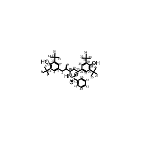 CC(Cc1cc(C(C)(C)C)c(O)c(C(C)(C)C)c1)C(CCc1cc(C(C)(C)C)c(O)c(C(C)(C)C)c1)NS(=O)(=O)c1ccccc1